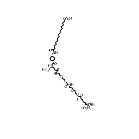 CCN[C@@H](CCCCNC(=O)COCCOCCNC(=O)COCCOCCNC(=O)CC[C@H](NC(=O)[C@H]1CC[C@H](CNC(=O)CCCCCCCCCCCCCCCS(=O)(=O)O)CC1)C(=O)O)C(=O)O